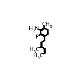 C/C=C\C(C)=C/CC1=C(F)C(N)=C(C)CC1